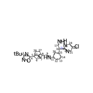 CC(C)(C)c1noc(C23CCC(CNc4cccc(/C(C=N)=C5\N=CC(Cl)=CN5)c4)(CC2)CC3)n1